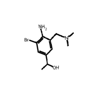 CC(O)c1cc(Br)c(N)c(CN(C)C)c1